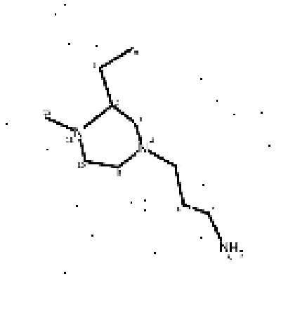 CCC1CN(CCCN)CCN1C